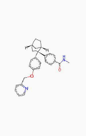 CNC(=O)c1ccc([C@@]2(c3ccc(OCc4ccccn4)cc3)C[C@@H]3CC[C@H]2C3)cc1